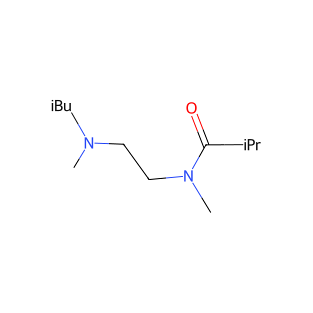 CCC(C)N(C)CCN(C)C(=O)C(C)C